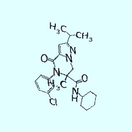 CC(C)c1cc2n(n1)CC(C)(C(=O)NC1CCCCC1)N(c1cccc(Cl)c1)C2=O